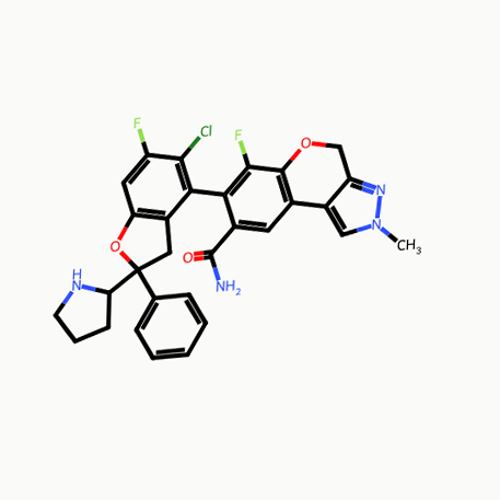 Cn1cc2c(n1)COc1c-2cc(C(N)=O)c(-c2c(Cl)c(F)cc3c2CC(c2ccccc2)(C2CCCN2)O3)c1F